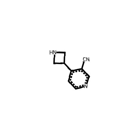 N#Cc1cnccc1C1CNC1